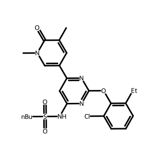 CCCCS(=O)(=O)Nc1cc(-c2cc(C)c(=O)n(C)c2)nc(Oc2c(Cl)cccc2CC)n1